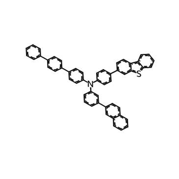 c1ccc(-c2ccc(-c3ccc(N(c4ccc(-c5ccc6c(c5)sc5ccccc56)cc4)c4cccc(-c5ccc6ccccc6c5)c4)cc3)cc2)cc1